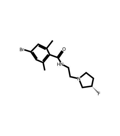 Cc1cc(Br)cc(C)c1C(=O)NCCN1CC[C@H](F)C1